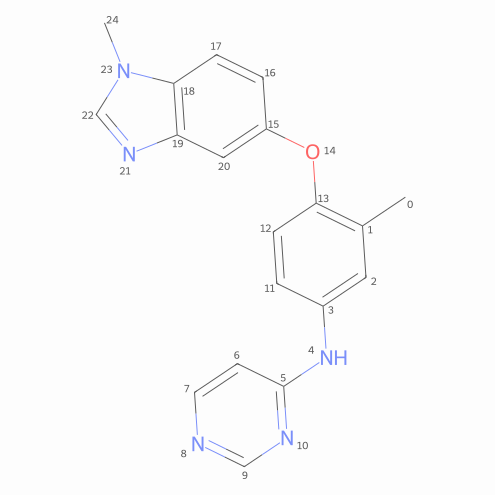 Cc1cc(Nc2ccncn2)ccc1Oc1ccc2c(c1)ncn2C